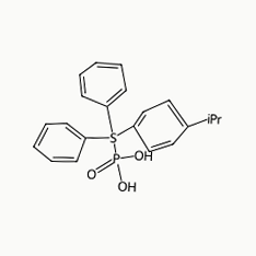 CC(C)c1ccc(S(c2ccccc2)(c2ccccc2)P(=O)(O)O)cc1